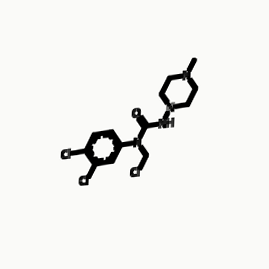 CN1CCN(NC(=O)N(CCl)c2ccc(Cl)c(Cl)c2)CC1